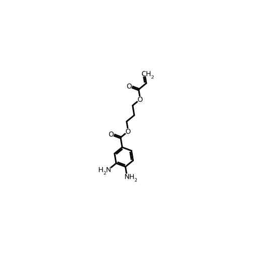 C=CC(=O)OCCCOC(=O)c1ccc(N)c(N)c1